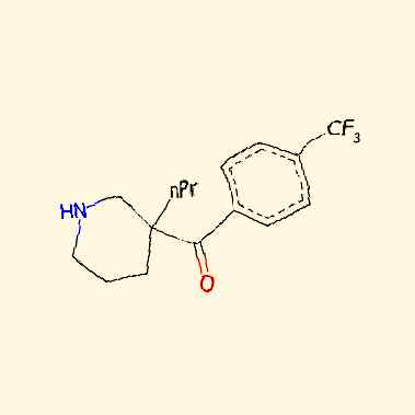 CCCC1(C(=O)c2ccc(C(F)(F)F)cc2)CCCNC1